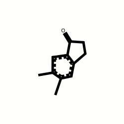 Cc1cc2c(cc1C)C(=O)CC2